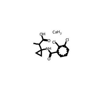 CC(C(=O)O)C1(NC(=O)c2cccc(Cl)c2Cl)CC1.[CaH2]